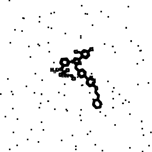 CN(c1cccc(-n2cc(-c3ccc(Cl)cc3Cl)nc2Cc2ccc(-c3ccc(OCCC4CCCCC4)nn3)cc2)c1)S(=O)(=O)NC=O